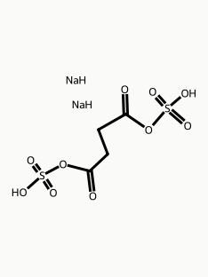 O=C(CCC(=O)OS(=O)(=O)O)OS(=O)(=O)O.[NaH].[NaH]